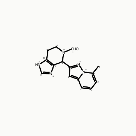 Cc1cccc2cc(C3c4nc[nH]c4CCN3C=O)nn12